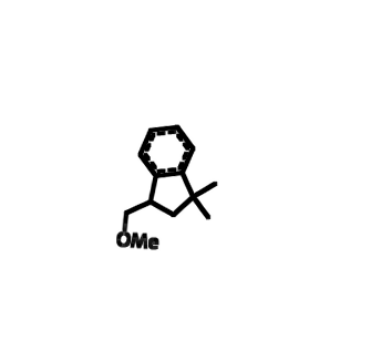 COCC1CC(C)(C)c2ccccc21